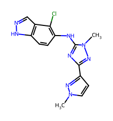 Cn1ccc(-c2nc(Nc3ccc4[nH]ncc4c3Cl)n(C)n2)n1